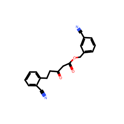 N#Cc1cccc(COC(=O)CC(=O)CCc2ccccc2C#N)c1